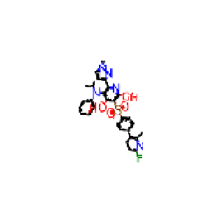 Cc1nc(F)ccc1-c1ccc(S(=O)(=O)c2c(O)nc(-c3ccn(C)n3)c(N(c3ccccc3)C(C)C)c2O)cc1